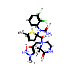 CN1C=C(C[N+]2(C(=O)C3(N(C(N)=O)c4cccc(Cl)c4Cl)CC=C(C(C)(C)C)S3)CCNC(=O)C2(C)C)ON1